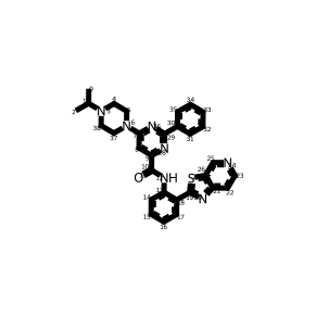 CC(C)N1CCN(c2cc(C(=O)Nc3ccccc3-c3nc4ccncc4s3)nc(-c3ccccc3)n2)CC1